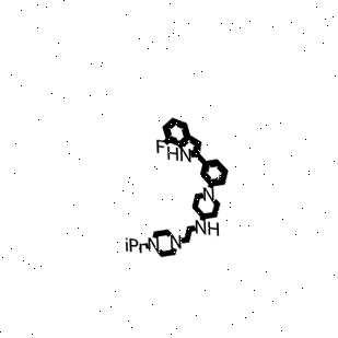 CC(C)N1CCN(CCNC2CCN(c3cccc(-c4cc5cccc(F)c5[nH]4)c3)CC2)CC1